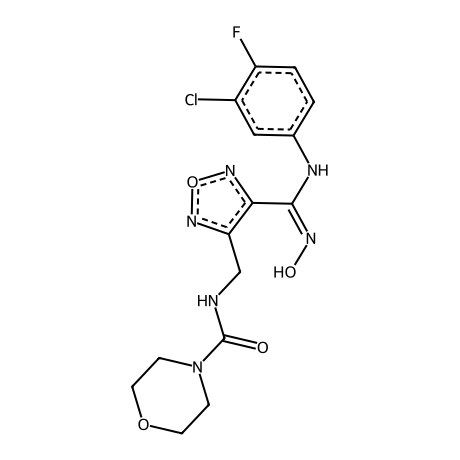 O=C(NCc1nonc1/C(=N\O)Nc1ccc(F)c(Cl)c1)N1CCOCC1